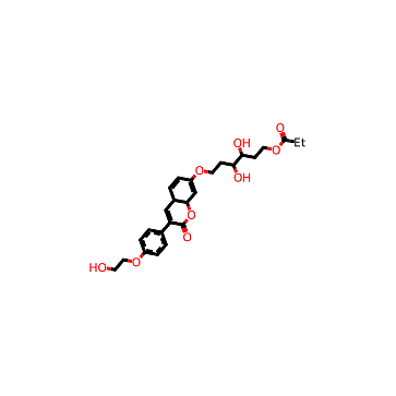 CCC(=O)OCCC(O)C(O)CCOC1=CC2OC(=O)C(c3ccc(OCCO)cc3)=CC2C=C1